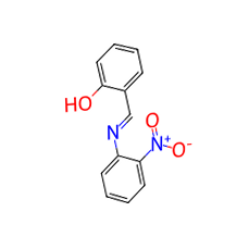 O=[N+]([O-])c1ccccc1N=Cc1ccccc1O